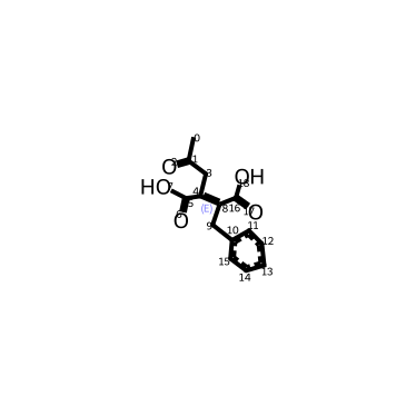 CC(=O)C/C(C(=O)O)=C(/Cc1ccccc1)C(=O)O